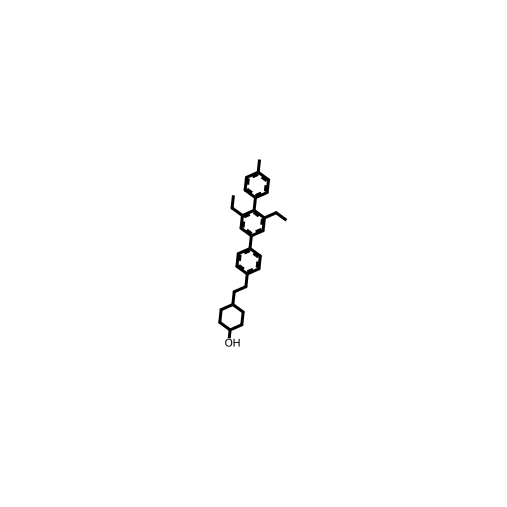 CCc1cc(-c2ccc(CCC3CCC(O)CC3)cc2)cc(CC)c1-c1ccc(C)cc1